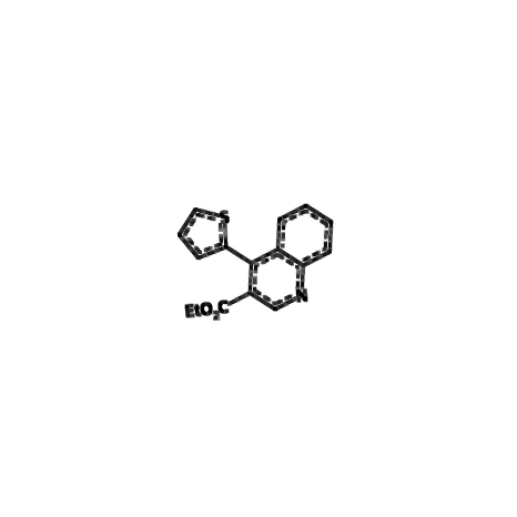 CCOC(=O)c1cnc2ccccc2c1-c1cccs1